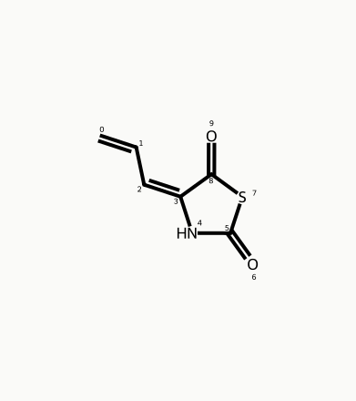 C=CC=C1NC(=O)SC1=O